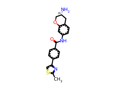 Cc1nc(-c2ccc(C(=O)Nc3ccc4c(c3)OC[C@H](N)C4)cc2)cs1